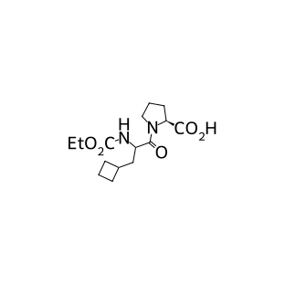 CCOC(=O)NC(CC1CCC1)C(=O)N1CCC[C@H]1C(=O)O